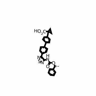 C[C@@H](OC(=O)Nc1nsnc1-c1ccc(-c2ccc(C3(C(=O)O)CC3)cc2)cc1)c1ccccc1